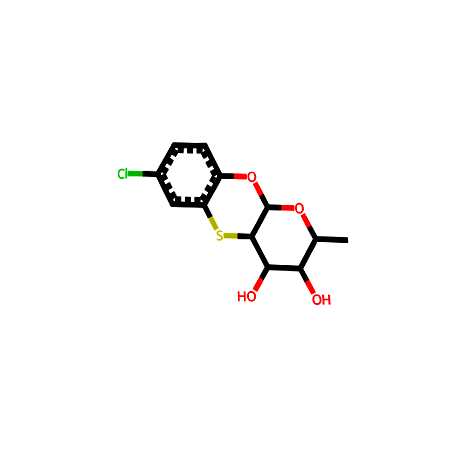 CC1OC2Oc3ccc(Cl)cc3SC2C(O)C1O